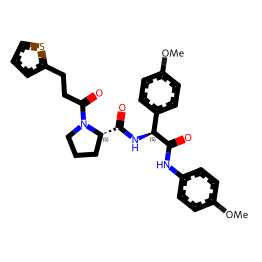 COc1ccc(NC(=O)[C@@H](NC(=O)[C@@H]2CCCN2C(=O)CCc2cccs2)c2ccc(OC)cc2)cc1